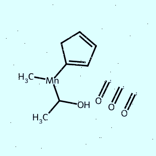 C[CH](O)[Mn]([CH3])[C]1=CC=CC1.[C]=O.[C]=O.[C]=O